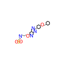 CN(CCCOc1cc2cnc(-c3ccc(OCc4ccccc4)cc3)nc2cn1)CCS(C)(=O)=O